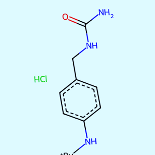 CC(C)(C)Nc1ccc(CNC(N)=O)cc1.Cl